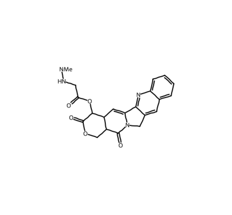 CNNCC(=O)OC1C(=O)OCC2C(=O)N3Cc4cc5ccccc5nc4C3=CC21